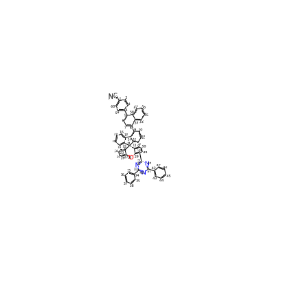 N#Cc1ccc(-c2ccc(-c3cccc4c3-c3ccccc3C43c4ccccc4Oc4c(-c5nc(-c6ccccc6)nc(-c6ccccc6)n5)cccc43)c3ccccc23)cc1